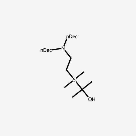 CCCCCCCCCCN(CCCCCCCCCC)CCS(C)(C)C(C)(C)O